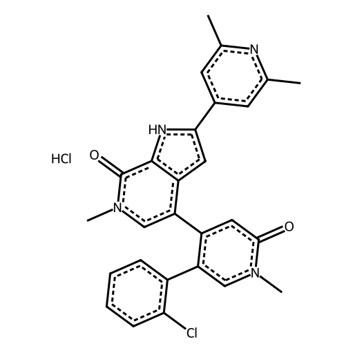 Cc1cc(-c2cc3c(-c4cc(=O)n(C)cc4-c4ccccc4Cl)cn(C)c(=O)c3[nH]2)cc(C)n1.Cl